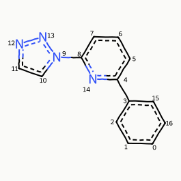 c1ccc(-c2cccc(-n3ccnn3)n2)cc1